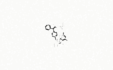 CCOC(=O)C(C#N)=C(c1ccccc1)c1ccc(Cn2c(CC)nc3c(C)cc(C)nc32)cc1